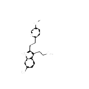 COc1ccc(CCc2[nH]c3cc(Br)ccc3c2CCO)nc1